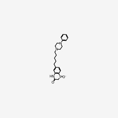 O=C1C[S+]([O-])c2ccc(CCCCCN3CCN(c4ccccc4)CC3)cc2N1